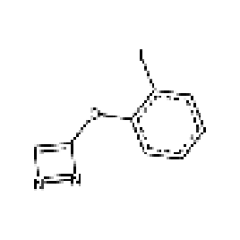 Ic1ccccc1OC1=CN=N1